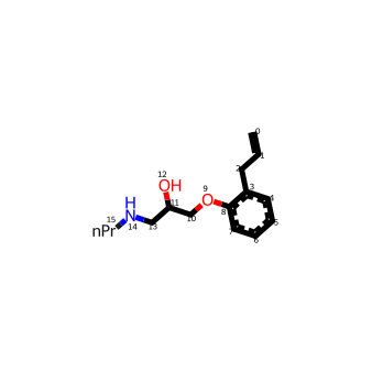 C=CCc1ccccc1OCC(O)CNCCC